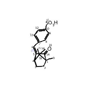 CC12CCC(/C(=C/c3ccc(S(=O)(=O)O)cc3)C1=O)C2(C)C